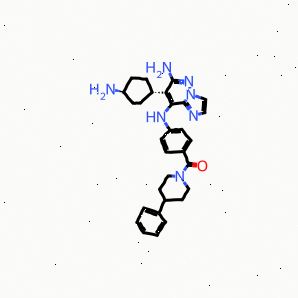 Nc1nn2ccnc2c(Nc2ccc(C(=O)N3CCC(c4ccccc4)CC3)cc2)c1[C@H]1CC[C@H](N)CC1